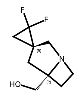 OC[C@@]12CCN1C[C@]1(CC1(F)F)C2